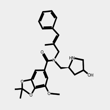 COc1cc(C(=O)N(C/C(C)=C/c2ccccc2)C[C@@H]2CC(O)CN2)cc2c1OC(C)(C)O2